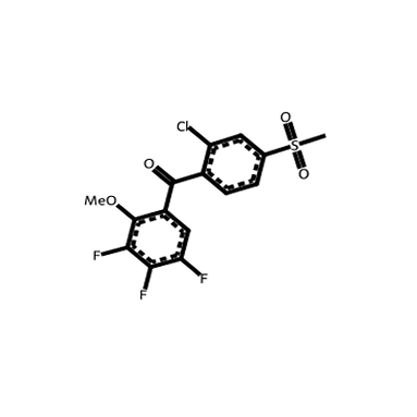 COc1c(C(=O)c2ccc(S(C)(=O)=O)cc2Cl)cc(F)c(F)c1F